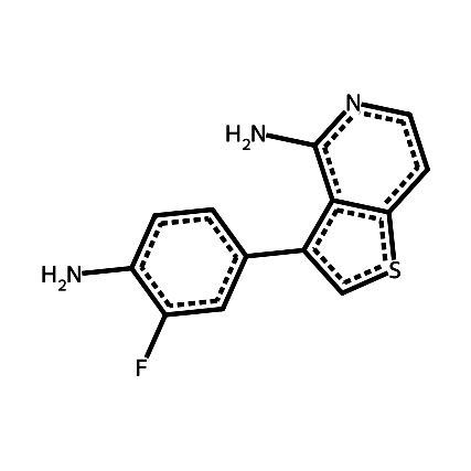 Nc1ccc(-c2csc3ccnc(N)c23)cc1F